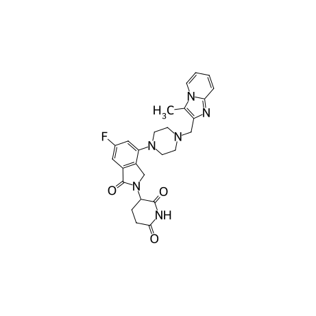 Cc1c(CN2CCN(c3cc(F)cc4c3CN(C3CCC(=O)NC3=O)C4=O)CC2)nc2ccccn12